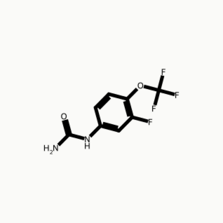 NC(=O)Nc1ccc(OC(F)(F)F)c(F)c1